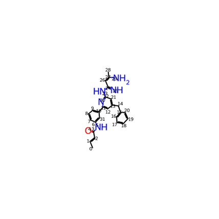 C/C=C/C(=O)Nc1cccc(-c2cc(Cc3ccccc3)cc(NC(=N)/C=C(/C)N)n2)c1